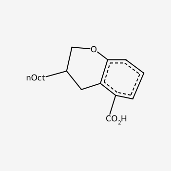 CCCCCCCCC1COc2cccc(C(=O)O)c2C1